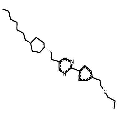 CCCCCCC[C@H]1CC[C@H](CCc2cnc(-c3ccc(CCCCCC)cc3)nc2)CC1